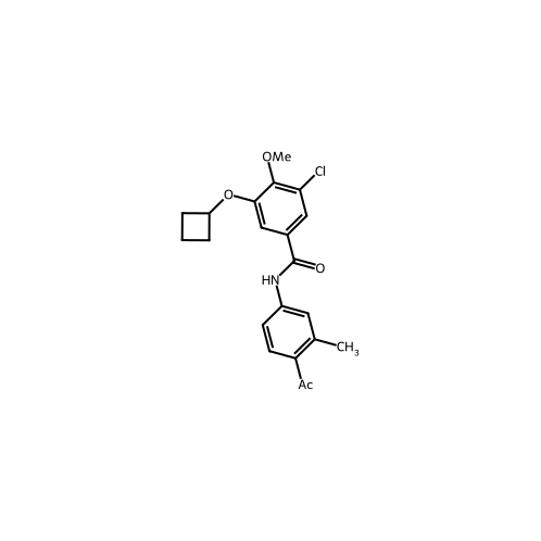 COc1c(Cl)cc(C(=O)Nc2ccc(C(C)=O)c(C)c2)cc1OC1CCC1